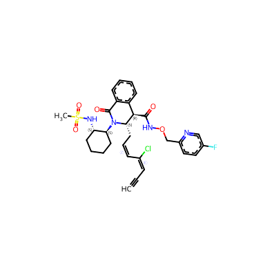 C#C/C=C(Cl)\C=C/C[C@H]1[C@H](C(=O)NOCc2ccc(F)cn2)c2ccccc2C(=O)N1[C@H]1CCCC[C@@H]1NS(C)(=O)=O